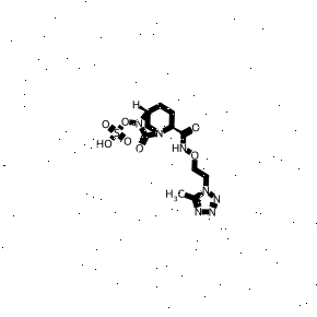 Cc1nnnn1CCONC(=O)[C@@H]1CC[C@@H]2CN1C(=O)N2OS(=O)(=O)O